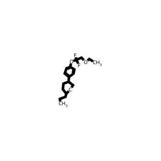 CCCC1CCC(c2ccc(OC(F)(F)COCC)cc2)CC1